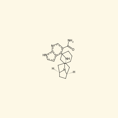 NC(=O)c1cnc2[nH]ccc2c1N[C@@H]1C[C@H]2CC[C@@H](C1)N2C1CCCCC1